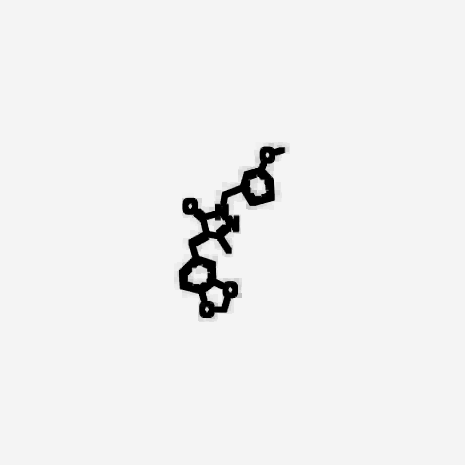 COc1cccc(CN2N=C(C)C(=Cc3ccc4c(c3)OCO4)C2=O)c1